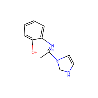 C/C(=N\c1ccccc1O)N1C=CNC1